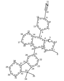 Cc1ccc2c(-c3ccc(C#N)cc3)c3ccccc3c(-c3ccc4c(c3)-c3ccccc3C4(C)C)c2c1